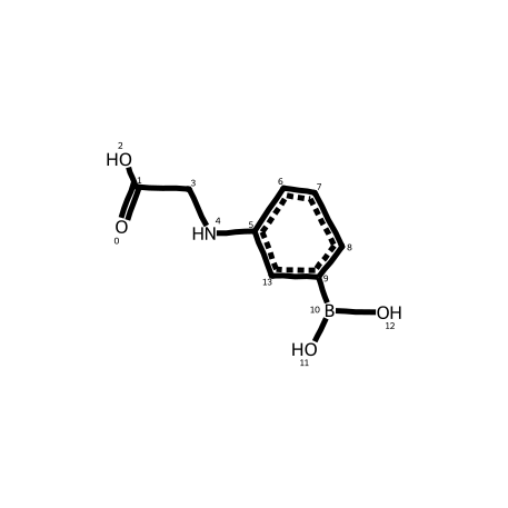 O=C(O)CNc1cccc(B(O)O)c1